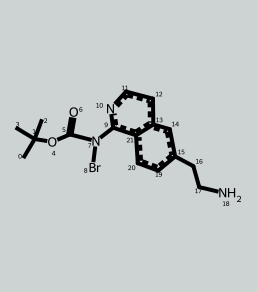 CC(C)(C)OC(=O)N(Br)c1nccc2cc(CCN)ccc12